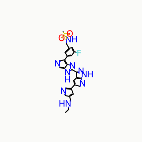 CCNCc1cncc(-c2cnc3[nH]nc(-c4nc5c(-c6cc(F)cc(CNS(C)(=O)=O)c6)cncc5[nH]4)c3c2)c1